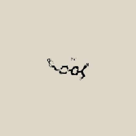 COCCN1CCN(c2ccc(/C(C#N)=C\[O-])cc2)CC1.[Na+]